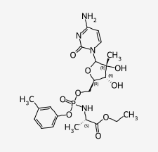 CCOC(=O)[C@H](C)NP(=O)(OC[C@H]1OC(n2ccc(N)nc2=O)[C@](C)(O)[C@@H]1O)Oc1cccc(C)c1